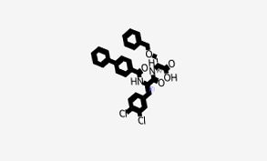 O=C(N[C@H](COCc1ccccc1)C(=O)O)/C(=C/c1ccc(Cl)c(Cl)c1)NC(=O)c1ccc(-c2ccccc2)cc1